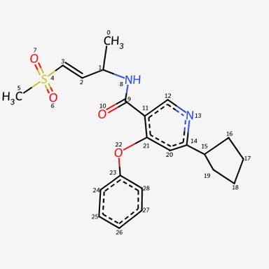 CC(C=CS(C)(=O)=O)NC(=O)c1cnc(C2CCCC2)cc1Oc1ccccc1